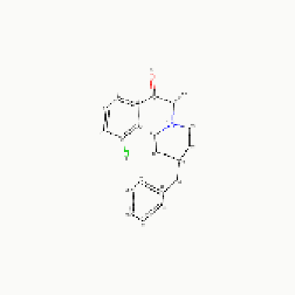 CC(C(=O)c1cccc(Cl)c1)N1CCC(Cc2ccccc2)CC1